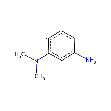 CN(C)c1[c]ccc(N)c1